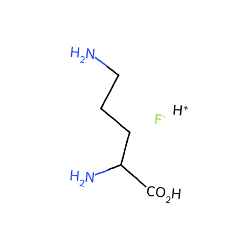 NCCCC(N)C(=O)O.[F-].[H+]